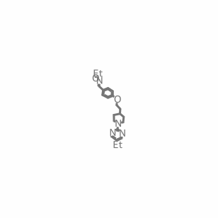 CCON=Cc1ccc(OCCC2CCN(c3ncc(CC)cn3)CC2)cc1